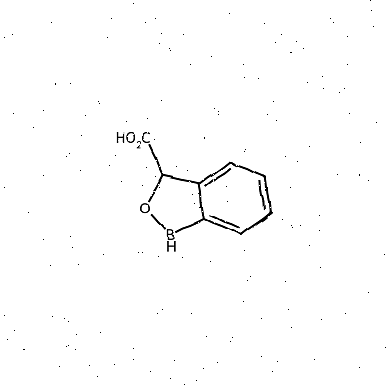 O=C(O)C1OBc2ccccc21